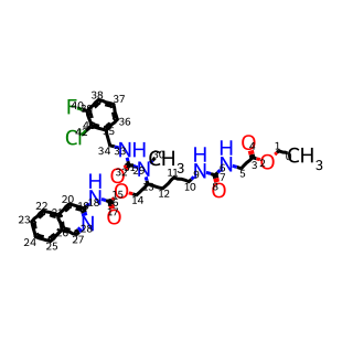 CCOC(=O)CNC(=O)NCCCC(COC(=O)Nc1cc2ccccc2cn1)N(C)C(=O)NCc1cccc(F)c1Cl